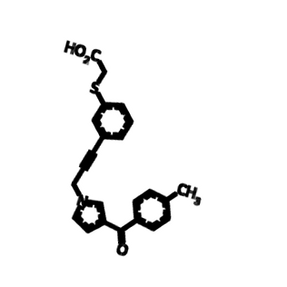 Cc1ccc(C(=O)c2ccn(CC#Cc3cccc(SCC(=O)O)c3)c2)cc1